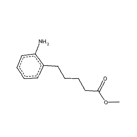 COC(=O)CCCCc1ccccc1N